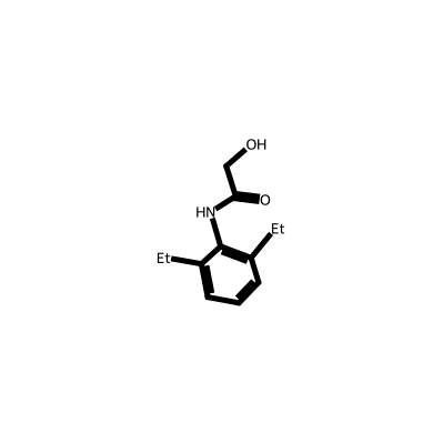 CCc1cccc(CC)c1NC(=O)CO